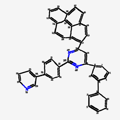 c1ccc(-c2cccc(-c3cc(-c4ccc5ccc6cccc7ccc4c5c67)nc(-c4ccc(-c5cccnc5)cc4)n3)c2)cc1